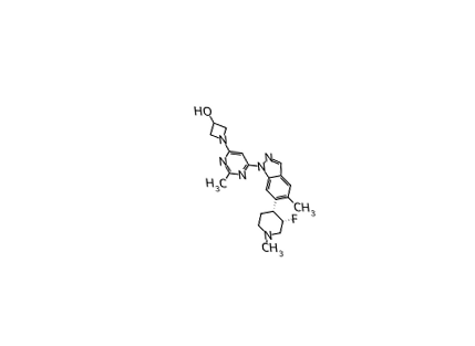 Cc1nc(N2CC(O)C2)cc(-n2ncc3cc(C)c([C@H]4CCN(C)C[C@H]4F)cc32)n1